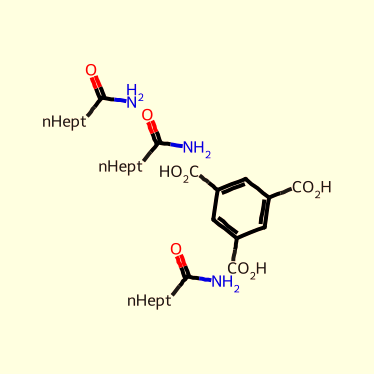 CCCCCCCC(N)=O.CCCCCCCC(N)=O.CCCCCCCC(N)=O.O=C(O)c1cc(C(=O)O)cc(C(=O)O)c1